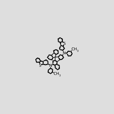 Cc1cccc(N(c2ccc3c(c2)C2(c4ccccc4-c4ccccc42)c2cc(N(c4cccc(C)c4)c4ccc5c(c4)sc4ccccc45)c4ccccc4c2-3)c2ccc3c(c2)sc2ccccc23)c1